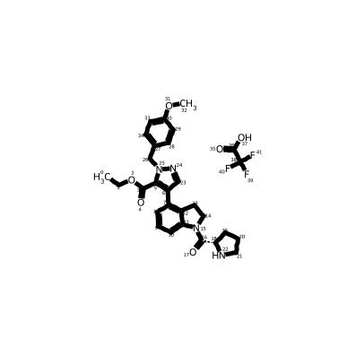 CCOC(=O)c1c(-c2cccc3c2CCN3C(=O)[C@@H]2CCCN2)cnn1Cc1ccc(OC)cc1.O=C(O)C(F)(F)F